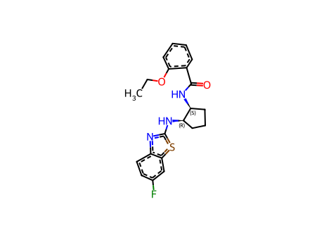 CCOc1ccccc1C(=O)N[C@H]1CCC[C@H]1Nc1nc2ccc(F)cc2s1